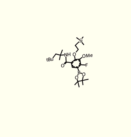 COc1c(F)c(B2OC(C)(C)C(C)(C)O2)cc(C(=O)NC(C)(C)CC(C)(C)C)c1OCC[Si](C)(C)C